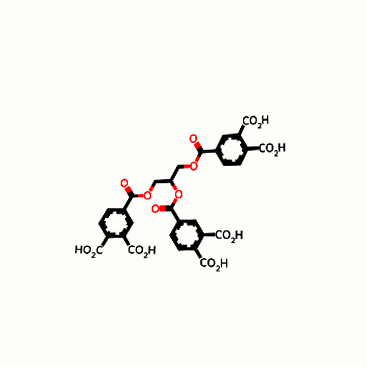 O=C(OCC(COC(=O)c1ccc(C(=O)O)c(C(=O)O)c1)OC(=O)c1ccc(C(=O)O)c(C(=O)O)c1)c1ccc(C(=O)O)c(C(=O)O)c1